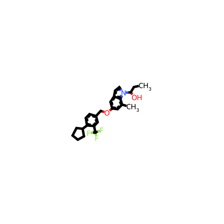 CCC(O)n1ccc2cc(OCc3ccc(C4CCCC4)c(C(F)(F)F)c3)cc(C)c21